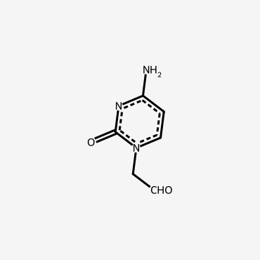 Nc1ccn(CC=O)c(=O)n1